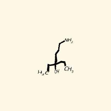 CCC(O)(CC)CCCN